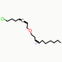 CCCCCC/C=C\CCOCC=C=CCCCCl